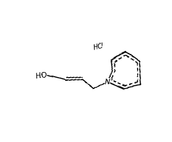 Cl.OC=CC[n+]1ccccc1